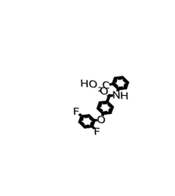 O=C(Nc1ccccc1C(=O)O)c1ccc(Oc2cc(F)ccc2F)cc1